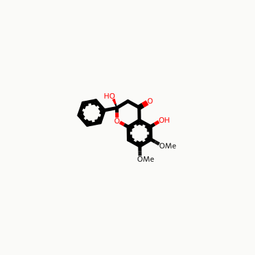 COc1cc2c(c(O)c1OC)C(=O)C[C@@](O)(c1ccccc1)O2